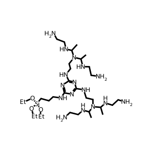 CCO[Si](CCCNc1nc(NCCN(C(C)NCCN)C(C)NCCN)nc(NCCN(C(C)NCCN)C(C)NCCN)n1)(OCC)OCC